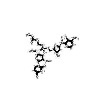 COC1[C@@H](OP(=O)(OC[C@H]2O[C@@H](Nc3ncnc(N)c3N)C[C@H]2O)SCOC(=O)OC(C)C)[C@@H](CO)O[C@H]1n1ccc(=O)[nH]c1=O